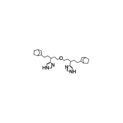 c1nc(C(CCOCCC(CCC2CC3CCC2C3)c2c[nH]cn2)CCC2CC3CCC2C3)c[nH]1